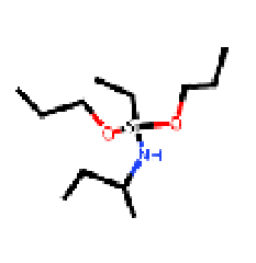 CCCO[Si](CC)(NC(C)CC)OCCC